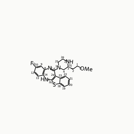 COCC[C@H]1CN(C2=Nc3cc(F)ccc3Nc3sc4ccccc4c32)CCN1